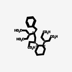 O=C(O)CN(CC(=O)O)[C@@H](Cc1ccccc1)CN(CC(=O)O)[C@H]1CCCC[C@@H]1N(CC(=O)O)CC(=O)O